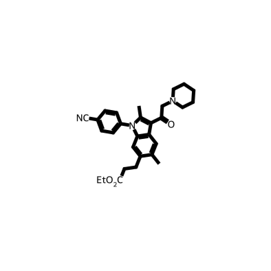 CCOC(=O)CCc1cc2c(cc1C)c(C(=O)CN1CCCCC1)c(C)n2-c1ccc(C#N)cc1